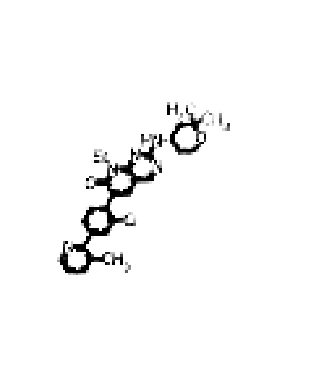 CCn1c(=O)c(-c2ccc(-c3ncccc3C)cc2Cl)cc2cnc(N[C@H]3CCOC(C)(C)C3)nc21